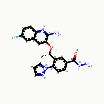 C[C@H](Oc1cc2cc(F)ccc2nc1N)c1cc(C(=O)NN)ccc1-n1cccn1